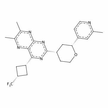 Cc1cc([C@H]2C[C@@H](c3nc4nc(C)c(C)nc4c([C@H]4C[C@@H](C(F)(F)F)C4)n3)CCO2)ccn1